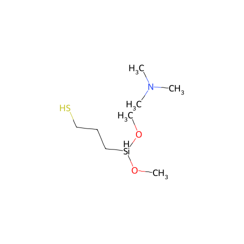 CN(C)C.CO[SiH](CCCS)OC